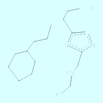 CC(C)CNCc1noc([C@H](CCCC2CCCCC2)CC(=O)O)n1